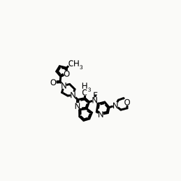 Cc1ccc(C(=O)N2CCN(c3nc4ccccc4c(N(F)c4cncc(N5CCOCC5)c4)c3C)CC2)o1